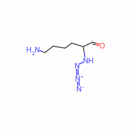 [N-]=[N+]=NNC([C]=O)CCCCN